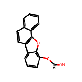 OBOc1cccc2c1oc1c3ccccc3ccc21